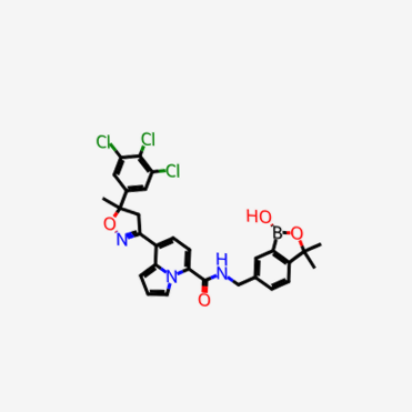 CC1(C)OB(O)c2cc(CNC(=O)c3ccc(C4=NOC(C)(c5cc(Cl)c(Cl)c(Cl)c5)C4)c4cccn34)ccc21